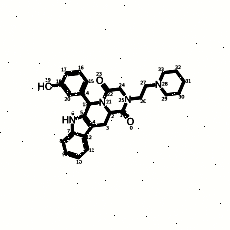 O=C1C2Cc3c([nH]c4ccccc34)C(c3cccc(O)c3)N2C(=O)CN1CCN1CCCCC1